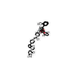 Nc1nnc(-c2ccccc2O)cc1N1C[C@H]2CC[C@@H](C1)N2c1cccc(OC2CCN(C(=O)CN3CCC(c4cccc5c4OCCN5C4CCC(=O)NC4=O)CC3)CC2)c1